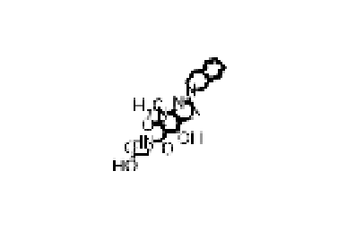 Cn1c(=O)c(C(=O)NCC(=O)O)c(O)c2cnc(N3CCc4ccccc4C3)nc21